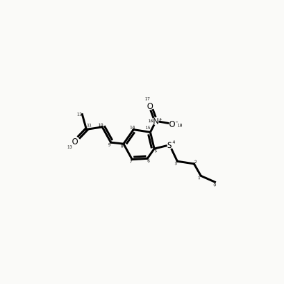 CCCCSc1ccc(/C=C/C(C)=O)cc1[N+](=O)[O-]